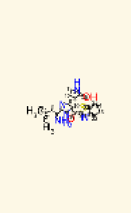 CC(C)C[C@H](N)C1=NC[C@@](C[C@@H]2CCNC2O)(C(=O)c2nc3ccccc3s2)N1